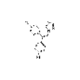 CCc1ccc(C(=Cn2cncn2)c2ccc(Cl)cc2)cc1